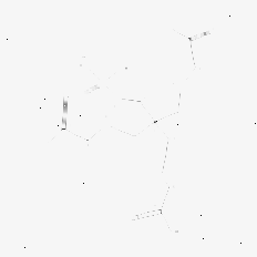 C=C(C)COCC(COCC(=C)C)(COCC(=C)C)COP(=O)(O)O